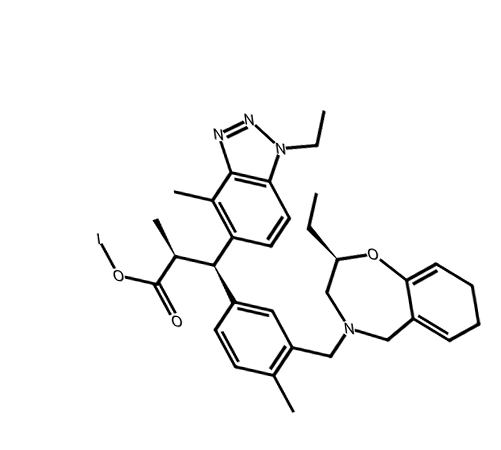 CC[C@@H]1CN(Cc2cc([C@H](c3ccc4c(nnn4CC)c3C)[C@H](C)C(=O)OI)ccc2C)CC2=CCCC=C2O1